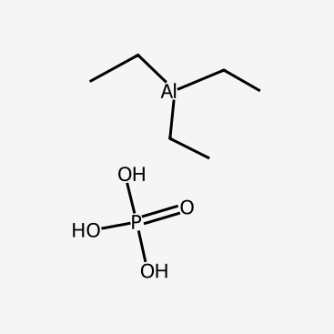 C[CH2][Al]([CH2]C)[CH2]C.O=P(O)(O)O